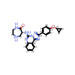 O=C1NCCNC[C@H]1Nc1nc2ccccc2c2nc(-c3ccc(OC4CC4)cc3)nn12